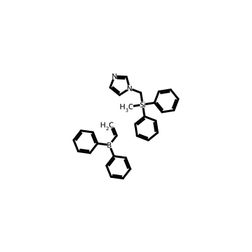 C=CB(c1ccccc1)c1ccccc1.C[Si](Cn1ccnc1)(c1ccccc1)c1ccccc1